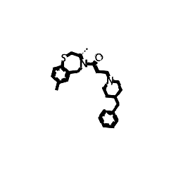 Cc1ccc2c(c1)CN(C(=O)CCN1CCC(Cc3ccccc3)CC1)[C@@H](C)CS2